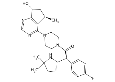 C[C@@H]1C[C@@H](O)c2ncnc(N3CCN(C(=O)[C@@H](c4ccc(F)cc4)[C@@H]4CCC(C)(C)N4)CC3)c21